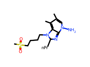 CCCC1N=C2C(=C(C)C(C)=CN2N)N1CCCCS(C)(=O)=O